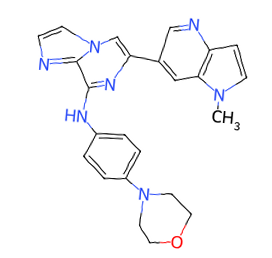 Cn1ccc2ncc(-c3cn4ccnc4c(Nc4ccc(N5CCOCC5)cc4)n3)cc21